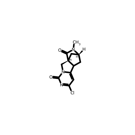 CN1C(=O)[C@]23C[C@H]1CC2c1cc(Cl)nc(=O)n1C3